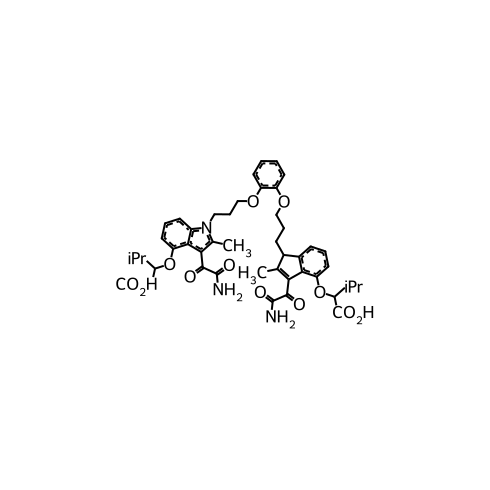 CC1=C(C(=O)C(N)=O)c2c(OC(C(=O)O)C(C)C)cccc2C1CCCOc1ccccc1OCCCn1c(C)c(C(=O)C(N)=O)c2c(OC(C(=O)O)C(C)C)cccc21